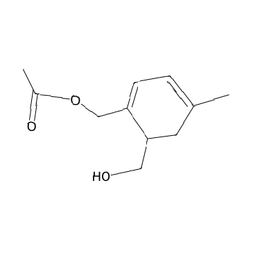 CC(=O)OCC1=CC=C(C)CC1CO